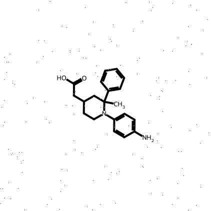 CC1(c2ccccc2)CC(CC(=O)O)CCN1c1ccc(N)cc1